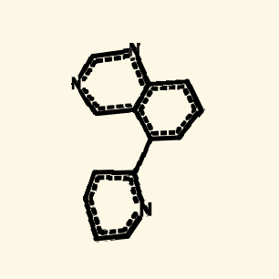 c1ccc(-c2cccc3ncncc23)nc1